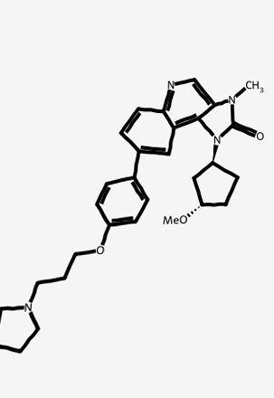 CO[C@H]1CC[C@H](n2c(=O)n(C)c3cnc4ccc(-c5ccc(OCCCN6CCCC6)cc5)cc4c32)C1